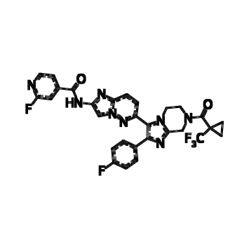 O=C(Nc1cn2nc(-c3c(-c4ccc(F)cc4)nc4n3CCN(C(=O)C3(C(F)(F)F)CC3)C4)ccc2n1)c1ccnc(F)c1